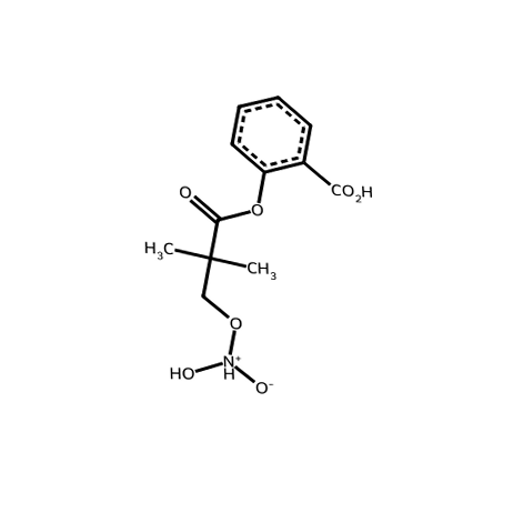 CC(C)(CO[NH+]([O-])O)C(=O)Oc1ccccc1C(=O)O